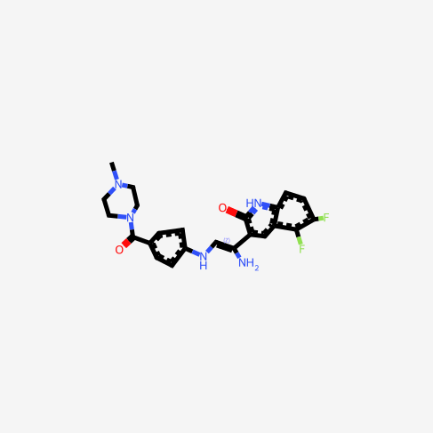 CN1CCN(C(=O)c2ccc(N/C=C(\N)c3cc4c(F)c(F)ccc4[nH]c3=O)cc2)CC1